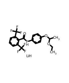 CCOC(C)Oc1ccc(PC(=O)c2c(C(F)(F)F)cccc2C(F)(F)F)cc1.[LiH]